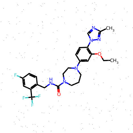 CCOc1cc(N2CCCN(C(=O)NCc3ccc(F)cc3C(F)(F)F)CC2)ccc1-n1cnc(C)n1